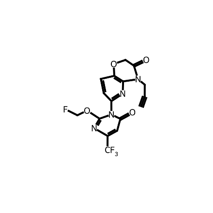 C#CCN1C(=O)COc2ccc(-n3c(OCF)nc(C(F)(F)F)cc3=O)nc21